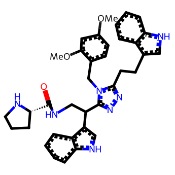 COc1ccc(Cn2c(CCc3c[nH]c4ccccc34)nnc2C(CNC(=O)[C@@H]2CCCN2)c2c[nH]c3ccccc23)c(OC)c1